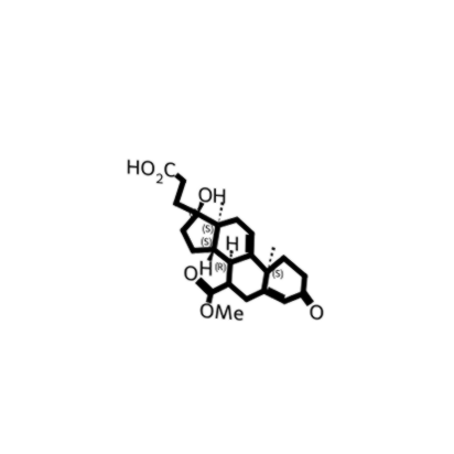 COC(=O)C1CC2=CC(=O)CC[C@]2(C)C2=CC[C@@]3(C)[C@@H](CC[C@]3(O)CCC(=O)O)[C@@H]21